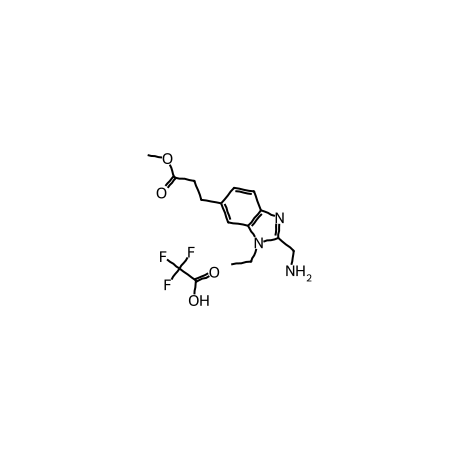 CCn1c(CN)nc2ccc(CCC(=O)OC)cc21.O=C(O)C(F)(F)F